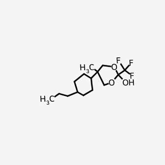 CCCC1CCC(C2(C)COC(O)(C(F)(F)F)OC2)CC1